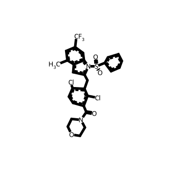 Cc1cc(C(F)(F)F)cc2c1cc(Cc1c(Cl)ccc(C(=O)N3CCOCC3)c1Cl)n2S(=O)(=O)c1ccccc1